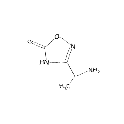 CC(N)c1noc(=O)[nH]1